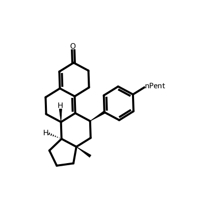 CCCCCc1ccc([C@H]2C[C@]3(C)CCC[C@H]3[C@@H]3CCC4=CC(=O)CCC4=C32)cc1